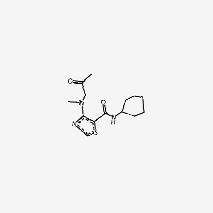 CC(=O)CN(C)c1ncsc1C(=O)NC1CCCCC1